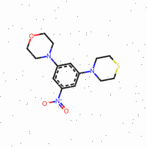 O=[N+]([O-])c1cc(N2CCOCC2)cc(N2CCSCC2)c1